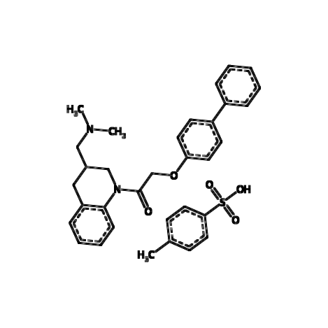 CN(C)CC1Cc2ccccc2N(C(=O)COc2ccc(-c3ccccc3)cc2)C1.Cc1ccc(S(=O)(=O)O)cc1